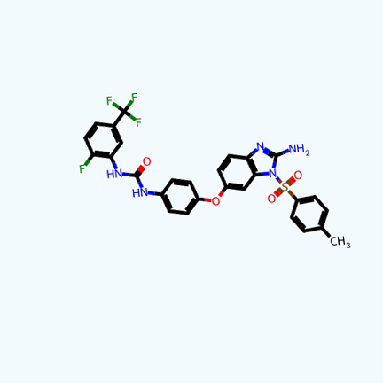 Cc1ccc(S(=O)(=O)n2c(N)nc3ccc(Oc4ccc(NC(=O)Nc5cc(C(F)(F)F)ccc5F)cc4)cc32)cc1